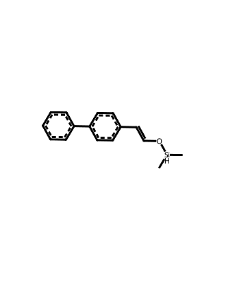 C[SiH](C)OC=Cc1ccc(-c2ccccc2)cc1